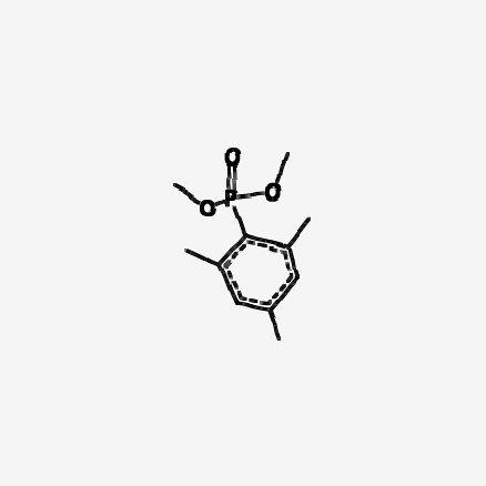 COP(=O)(OC)c1c(C)cc(C)cc1C